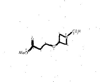 COC(=O)CCOC1CN(C(=O)O)C1